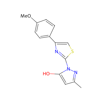 COc1ccc(-c2csc(-n3nc(C)cc3O)n2)cc1